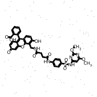 COc1cc(NS(=O)(=O)c2ccc(NC(=O)CCC(=O)NCc3c(O)ccc4c(-c5ccccc5C(=O)O)c5ccc(=O)cc-5oc34)cc2)nc(OC)n1